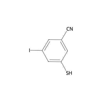 N#Cc1cc(S)cc(I)c1